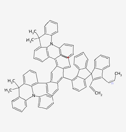 C=CC1=C(/C=C\C)c2ccccc2C12c1ccccc1-c1c(-c3c4cccc(-c5cccc6c5N(c5ccccc5)c5ccccc5C6(C)C)c4cc4c(-c5cccc6c5N(c5ccccc5)c5ccccc5C6(C)C)cccc34)cccc12